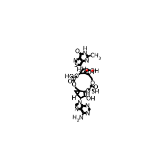 Cc1nc2c([C@@H]3O[C@@H]4CO[P@@](=O)(S)O[C@H]5[C@@H](O)[C@H](n6cnc7c(N)ncnc76)[C@H]6CC65COP(=O)(O)O[C@@H]3[C@@H]4CO)snc2c(=O)[nH]1